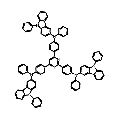 c1ccc(N(c2ccc(-c3cc(-c4ccc(N(c5ccccc5)c5ccc6c(c5)c5ccccc5n6-c5ccccc5)cc4)nc(-c4ccc(N(c5ccccc5)c5ccc6c(c5)c5ccccc5n6-c5ccccc5)cc4)n3)cc2)c2ccc3c(c2)c2ccccc2n3-c2ccccc2)cc1